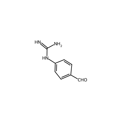 N=C(N)Nc1ccc(C=O)cc1